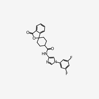 O=C1OC2(CCC(C(=O)Nc3cn(-c4cc(F)cc(F)c4)cn3)CC2)c2ccccc21